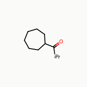 CC(C)C(=O)C1CCCCCC1